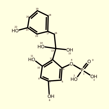 O=P(O)(O)Oc1cc(O)cc(O)c1C(O)(O)Cc1cccc(O)c1